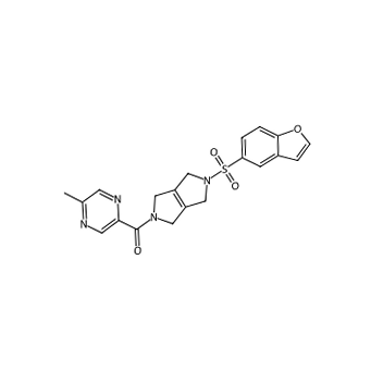 Cc1cnc(C(=O)N2CC3=C(C2)CN(S(=O)(=O)c2ccc4occc4c2)C3)cn1